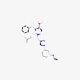 C=CC(=O)N1CCC[C@H](n2cc(Nc3ncc(C(N)=O)c(Nc4ccccc4OCC(C)C)n3)cn2)C1